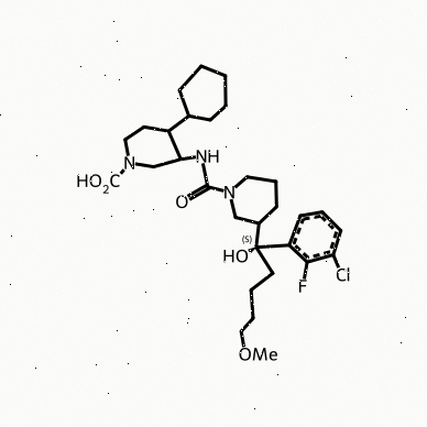 COCCCC[C@@](O)(c1cccc(Cl)c1F)C1CCCN(C(=O)NC2CN(C(=O)O)CCC2C2CCCCC2)C1